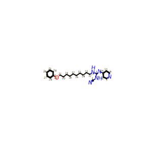 N#CN/C(=N\c1ccncc1)NCCCCCCCCCCOc1ccccc1